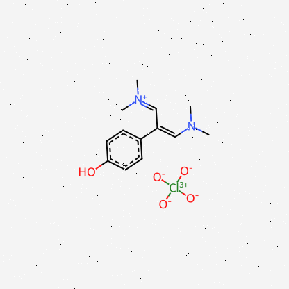 CN(C)/C=C(\C=[N+](C)C)c1ccc(O)cc1.[O-][Cl+3]([O-])([O-])[O-]